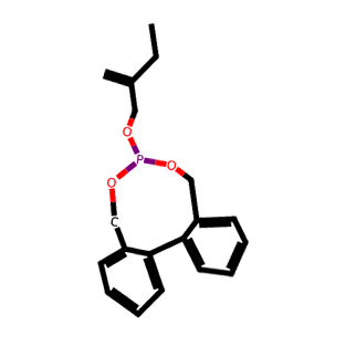 C=C(CC)COP1OCc2ccccc2-c2ccccc2CO1